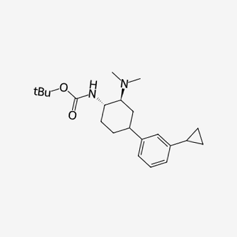 CN(C)[C@H]1CC(c2cccc(C3CC3)c2)CC[C@@H]1NC(=O)OC(C)(C)C